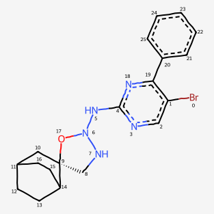 Brc1cnc(NN2NC[C@]3(CC4CCC3CC4)O2)nc1-c1ccccc1